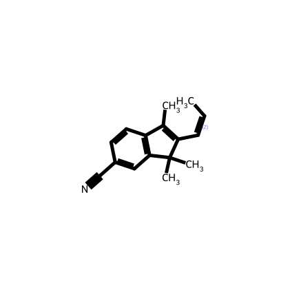 C/C=C\C1=C(C)c2ccc(C#N)cc2C1(C)C